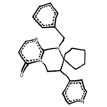 O=c1ccnc2n1CC(c1ccncc1)C1(CCCC1)N2Cc1ccccc1